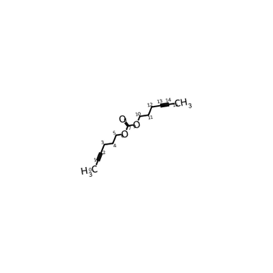 CC#CCCCOC(=O)OCCCC#CC